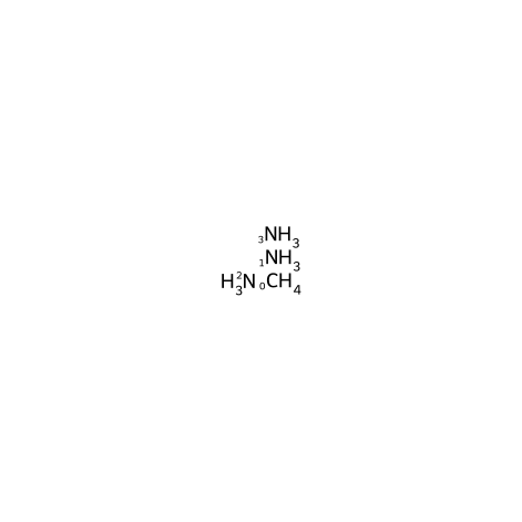 C.N.N.N